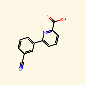 N#Cc1cccc(-c2cccc(C(=O)O)n2)c1